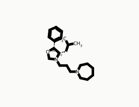 CC(C)C[C@H]1[C@@H](c2ccccc2)O[CH]N1CCCN1CCCCCC1